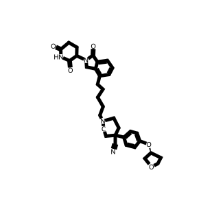 N#CC1(c2ccc(O[C@@H]3CCOC3)cc2)CCN(CCCCCc2cccc3c2CN(C2CCC(=O)NC2=O)C3=O)CC1